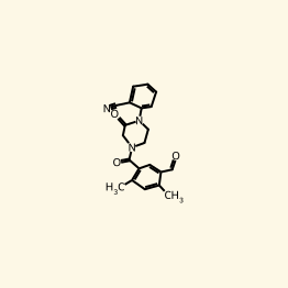 Cc1cc(C)c(C(=O)N2CCN(c3ccccc3C#N)C(=O)C2)cc1C=O